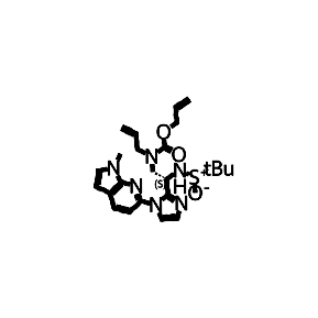 C=CCOC(=O)N(CC=C)C[C@H](N[S+]([O-])C(C)(C)C)c1nccn1-c1ccc2ccn(C)c2n1